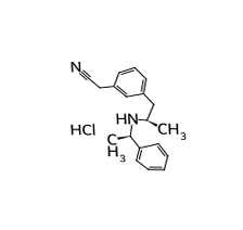 C[C@H](Cc1cccc(CC#N)c1)N[C@H](C)c1ccccc1.Cl